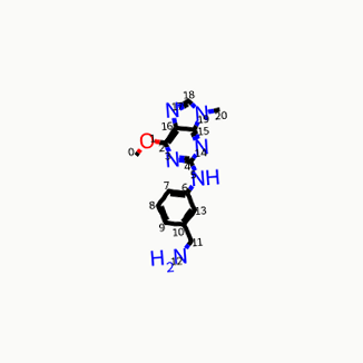 COc1nc(Nc2cccc(CN)c2)nc2c1ncn2C